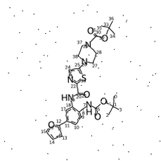 CC(C)(C)OC(=O)Nc1ccc(-c2ccco2)cc1NC(=O)c1ncc(N2CCN(C(=O)OC(C)(C)C)CC2)s1